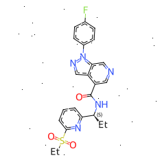 CC[C@H](NC(=O)c1cncc2c1cnn2-c1ccc(F)cc1)c1cccc(S(=O)(=O)CC)n1